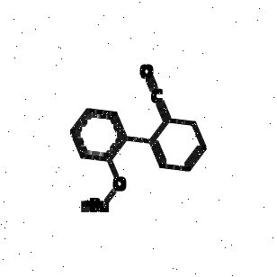 CCCCOc1ccccc1C1=CC=CCC1=C=O